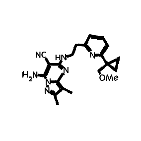 COCC1(c2cccc(CCNc3nc4c(C)c(C)nn4c(N)c3C#N)n2)CC1